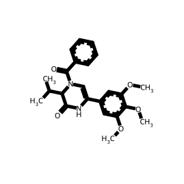 COc1cc(C2=CN(C(=O)c3ccccc3)C(C(C)C)C(=O)N2)cc(OC)c1OC